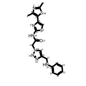 Cc1nc(C)c(-c2csc(NC(=O)Cn3cc(CNc4ccccc4)nn3)n2)s1